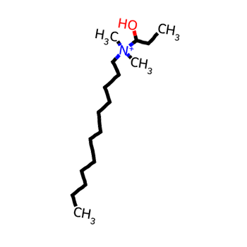 CCCCCCCCCCCC[N+](C)(C)C(O)CC